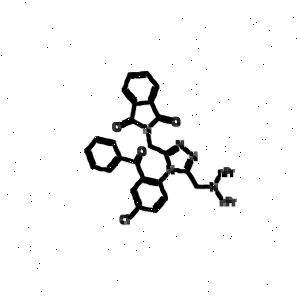 CCCN(CCC)Cc1nnc(CN2C(=O)c3ccccc3C2=O)n1-c1ccc(Cl)cc1C(=O)c1ccccc1